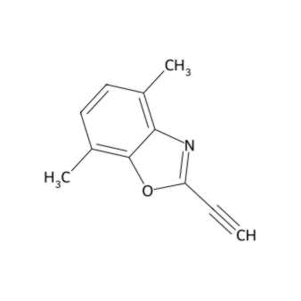 C#Cc1nc2c(C)ccc(C)c2o1